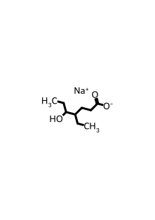 CCC(O)C(CC)CCC(=O)[O-].[Na+]